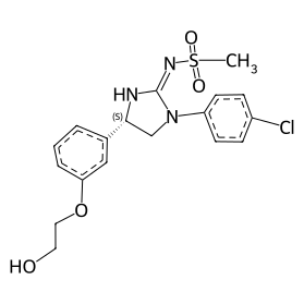 CS(=O)(=O)N=C1N[C@@H](c2cccc(OCCO)c2)CN1c1ccc(Cl)cc1